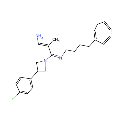 CC(=C\N)/C(=N\CCCCC1=CCC=CC=C1)N1CC(c2ccc(F)cc2)C1